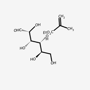 C=C(C)C(=O)OCC.O=C[C@H](O)[C@@H](O)[C@H](O)[C@H](O)CO